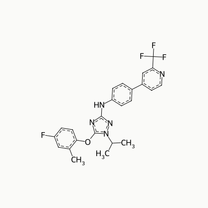 Cc1cc(F)ccc1Oc1nc(Nc2ccc(-c3ccnc(C(F)(F)F)c3)cc2)nn1C(C)C